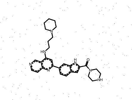 O=C(c1cc2ccc(-c3cc(NCCCN4CCCCC4)c4cnccc4n3)cc2[nH]1)N1CCNCC1